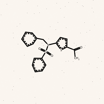 CC(=O)c1ccc(N(Cc2ccccc2)S(=O)(=O)c2ccccc2)s1